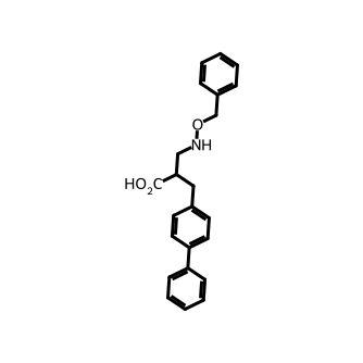 O=C(O)C(CNOCc1ccccc1)Cc1ccc(-c2ccccc2)cc1